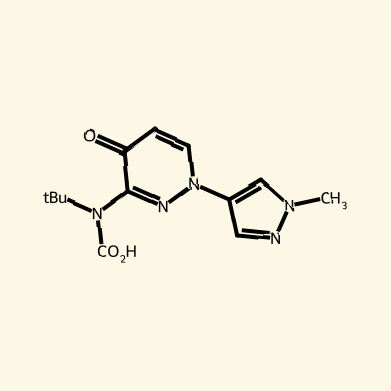 Cn1cc(-n2ccc(=O)c(N(C(=O)O)C(C)(C)C)n2)cn1